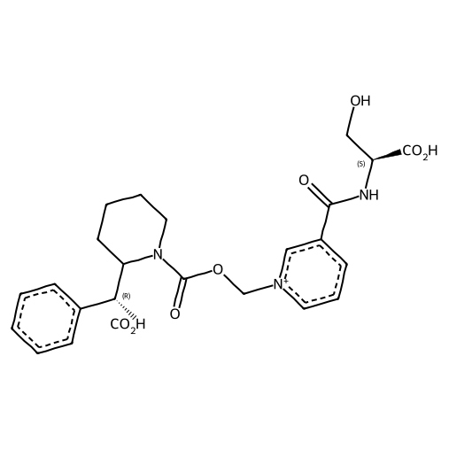 O=C(N[C@@H](CO)C(=O)O)c1ccc[n+](COC(=O)N2CCCCC2[C@H](C(=O)O)c2ccccc2)c1